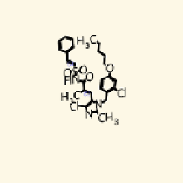 CCCCCOc1ccc(Cn2c(C)nc(Cl)c2/C=C(\C)C(=O)NS(=O)(=O)/C=C/c2ccccc2)c(Cl)c1